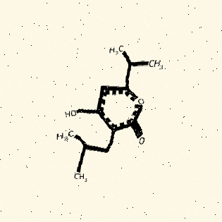 CC(C)Cc1c(O)cc(C(C)C)oc1=O